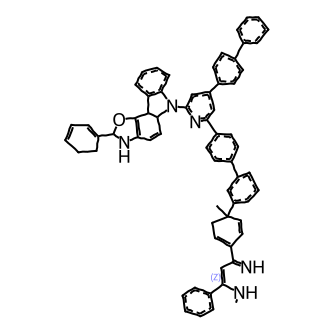 CN/C(=C\C(=N)C1=CCC(C)(c2cccc(-c3ccc(-c4cc(-c5ccc(-c6ccccc6)cc5)cc(N5c6ccccc6C6C7=C(C=CC65)NC(C5=CC=CCC5)O7)n4)cc3)c2)C=C1)c1ccccc1